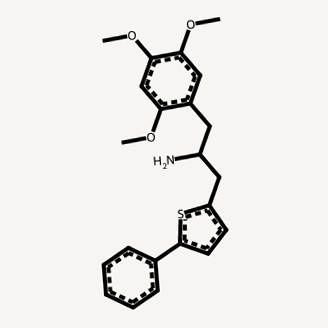 COc1cc(OC)c(OC)cc1CC(N)Cc1ccc(-c2ccccc2)s1